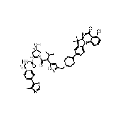 Cc1ncsc1-c1ccc([C@H](C)NC(=O)[C@@H]2C[C@@H](O)CN2C(=O)C(c2cc(CN3CCC(c4ccc5c(c4)C(C)(C)c4nc(=O)c6c(Cl)cccc6n4-5)CC3)no2)C(C)C)cc1